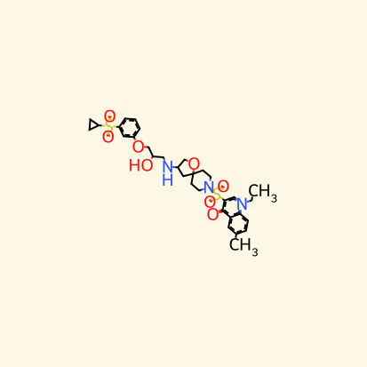 CCn1cc(S(=O)(=O)N2CCC3(CC2)CC(NCC(O)COc2cccc(S(=O)(=O)C4CC4)c2)CO3)c(=O)c2cc(C)ccc21